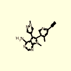 C#Cc1cc(C)c(-c2c(-c3cnn(C)c3)c3c(N)ncnc3n2C)cn1